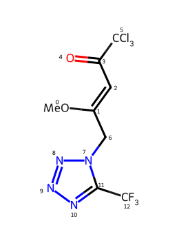 CO/C(=C\C(=O)C(Cl)(Cl)Cl)Cn1nnnc1C(F)(F)F